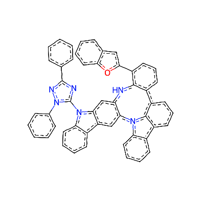 c1ccc(-c2nc(-n3c4ccccc4c4cc5c(cc43)[nH]c3c(-c4cc6ccccc6o4)cccc3c3cccc4c6ccccc6n5c34)n(-c3ccccc3)n2)cc1